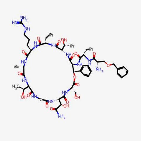 CC[C@H](C)C1NC(=O)[C@@H](CCCNC(=N)N)NC(=O)[C@H](CC(C)C)NC(=O)[C@H]([C@H](O)C(C)C)NC(=O)[C@@H](NC(=O)[C@H](CC(C)C)NC(=O)[C@@H](N)COCc2ccccc2)[C@@H](c2ccccc2)OC(=O)[C@H](CO)NC(=O)[C@H]([C@H](O)C(N)=O)NC(=O)CNC(=O)C([C@H](C)O)NC1=O